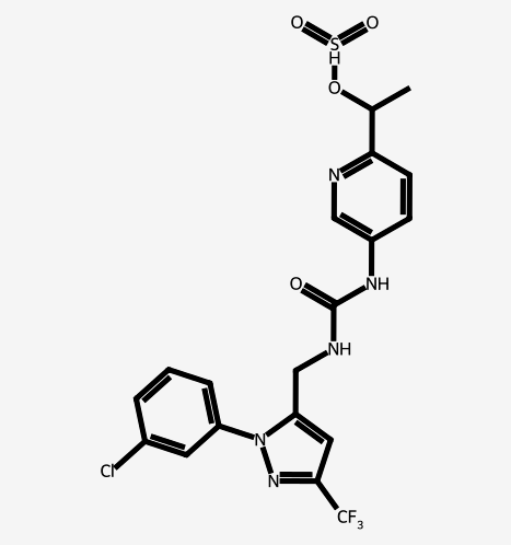 CC(O[SH](=O)=O)c1ccc(NC(=O)NCc2cc(C(F)(F)F)nn2-c2cccc(Cl)c2)cn1